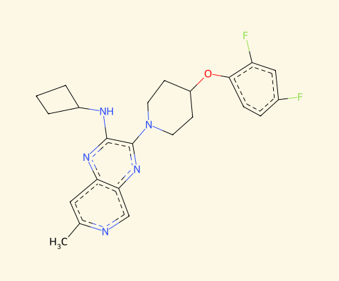 Cc1cc2nc(NC3CCC3)c(N3CCC(Oc4ccc(F)cc4F)CC3)nc2cn1